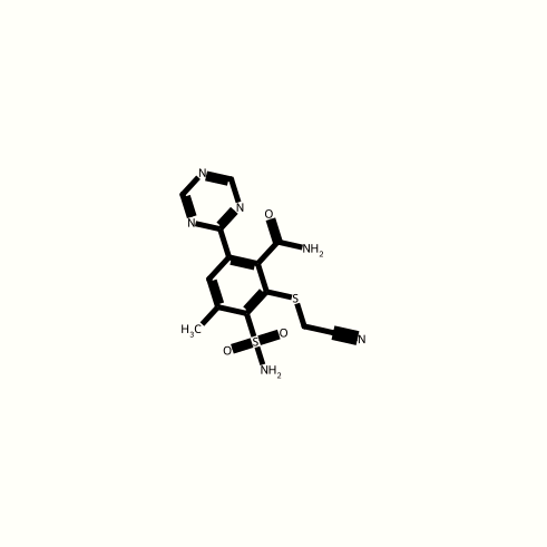 Cc1cc(-c2ncncn2)c(C(N)=O)c(SCC#N)c1S(N)(=O)=O